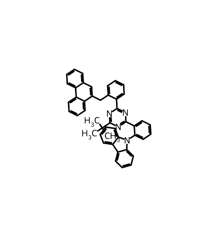 CC(C)(C)c1nc(-c2ccccc2Cc2cc3ccccc3c3ccccc23)nc(-c2ccccc2-n2c3ccccc3c3ccccc32)n1